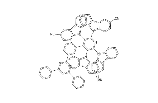 N#Cc1ccc2c(c1)c1ccccc1n2-c1nc(-n2c3ccccc3c3cc(C#N)ccc32)c(-n2c3ccccc3c3cc(C#N)ccc32)c(-c2cccc(-c3nc(-c4ccccc4)cc(-c4ccccc4)n3)c2)c1-n1c2ccccc2c2cc(C#N)ccc21